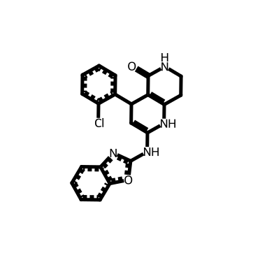 O=C1NCCC2=C1C(c1ccccc1Cl)C=C(Nc1nc3ccccc3o1)N2